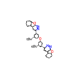 CC(C)(C)c1cc(Oc2cc(-c3cc4c(nn3)oc3ccccc34)cc(C(C)(C)C)c2)cc(-c2cc3c(nn2)oc2ccccc23)c1